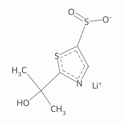 CC(C)(O)c1ncc(S(=O)[O-])s1.[Li+]